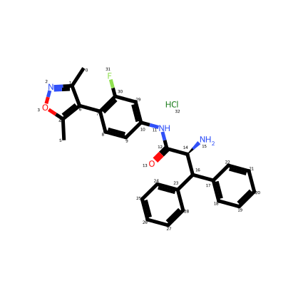 Cc1noc(C)c1-c1ccc(NC(=O)[C@@H](N)C(c2ccccc2)c2ccccc2)cc1F.Cl